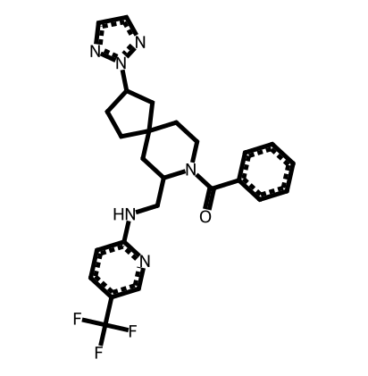 O=C(c1ccccc1)N1CCC2(CCC(n3nccn3)C2)CC1CNc1ccc(C(F)(F)F)cn1